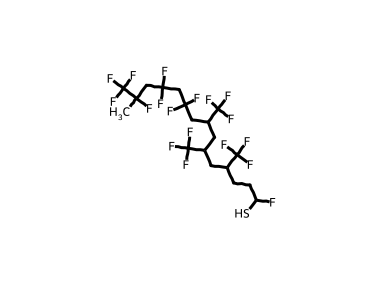 CC(F)(CC(F)(F)CC(F)(F)CC(CC(CC(CCC(F)S)C(F)(F)F)C(F)(F)F)C(F)(F)F)C(F)(F)F